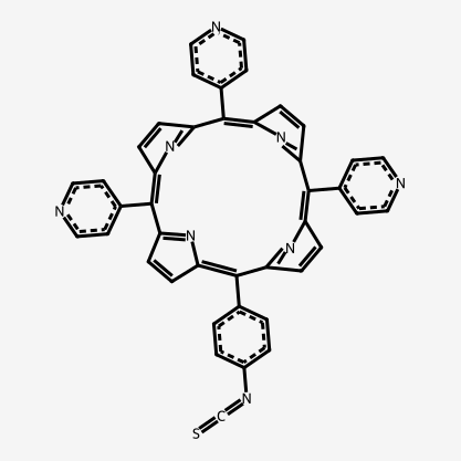 S=C=Nc1ccc(C2=C3C=CC(=N3)C(c3ccncc3)=C3C=CC(=N3)C(c3ccncc3)=C3C=CC(=N3)C(c3ccncc3)=C3C=CC2=N3)cc1